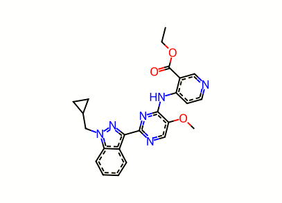 CCOC(=O)c1cnccc1Nc1nc(-c2nn(CC3CC3)c3ccccc23)ncc1OC